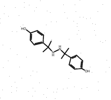 CC(C)(NNC(C)(C)c1ccc(O)cc1)c1ccc(O)cc1